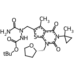 Cc1c(CN(NC(=O)OC(C)(C)C)C(N)=O)sc2c1c(=O)n(C1(C)CC1)c(=O)n2C[C@@H]1CCCO1